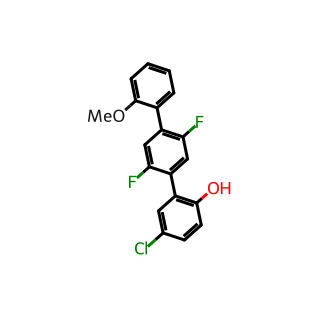 COc1ccccc1-c1cc(F)c(-c2cc(Cl)ccc2O)cc1F